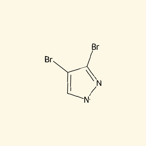 BrC1=C[N]N=C1Br